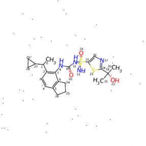 CC(c1ccc2c(c1NC(=O)NS(=N)(=O)c1cnc(C(C)(C)O)s1)CCC2)C1CC1